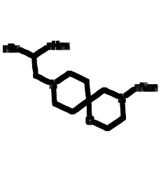 CCCCCCCCCN1CCOC2(CCN(CC(CCCC)CCCCCC)CC2)C1